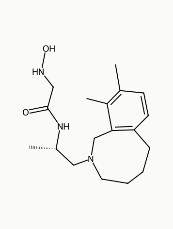 Cc1ccc2c(c1C)CN(C[C@H](C)NC(=O)CNO)CCCC2